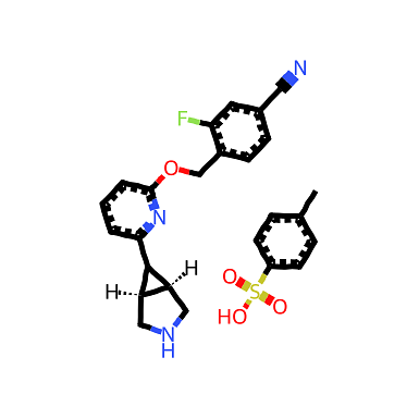 Cc1ccc(S(=O)(=O)O)cc1.N#Cc1ccc(COc2cccc(C3[C@H]4CNC[C@@H]34)n2)c(F)c1